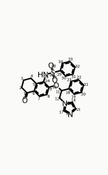 O=C1CCCc2c1ccc(OC(Cn1ccnc1)c1ccccc1)c2NS(=O)(=O)c1ccccc1